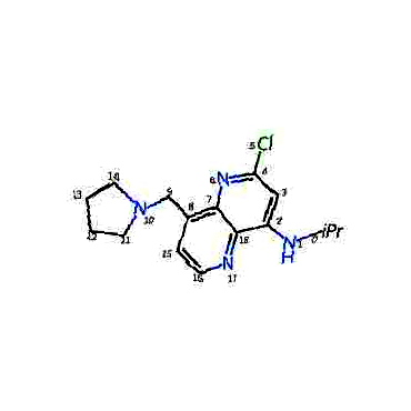 CC(C)Nc1cc(Cl)nc2c(CN3CCCC3)ccnc12